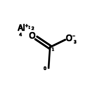 CC(=O)[O-].[Al+]